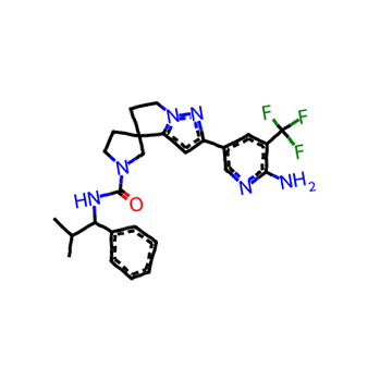 CC(C)C(NC(=O)N1CCC2(CCn3nc(-c4cnc(N)c(C(F)(F)F)c4)cc32)C1)c1ccccc1